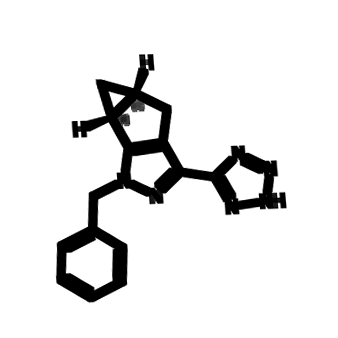 c1ccc(Cn2nc(-c3nn[nH]n3)c3c2[C@@H]2C[C@@H]2C3)cc1